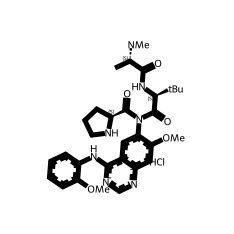 CN[C@@H](C)C(=O)N[C@H](C(=O)N(C(=O)[C@@H]1CCCN1)c1cc2c(Nc3ccccc3OC)ncnc2cc1OC)C(C)(C)C.Cl